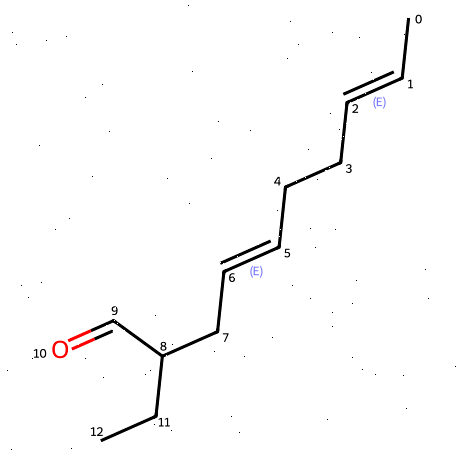 C/C=C/CC/C=C/CC(C=O)CC